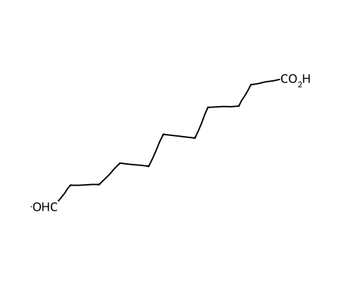 O=[C]CCCCCCCCCC(=O)O